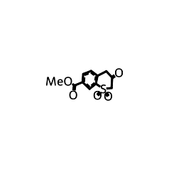 COC(=O)c1ccc2c(c1)S(=O)(=O)CC(=O)C2